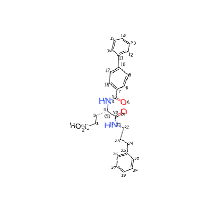 O=C(O)CC[C@H](NC(=O)c1ccc(-c2ccccc2)cc1)C(=O)NCCCc1ccccc1